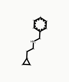 c1ccc(CNCCC2CC2)cc1